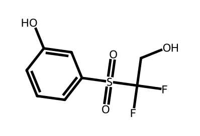 O=S(=O)(c1cccc(O)c1)C(F)(F)CO